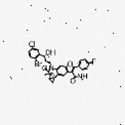 CNC(=O)c1c(-c2ccc(F)cc2)oc2cc(N(CCC(O)c3cc(Cl)ccc3Br)S(C)(=O)=O)c(C3CC3)cc12